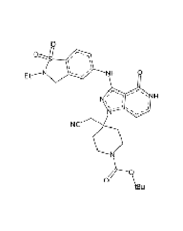 CCN1Cc2cc(Nc3nn(C4(CC#N)CCN(C(=O)OC(C)(C)C)CC4)c4cc[nH]c(=O)c34)ccc2S1(=O)=O